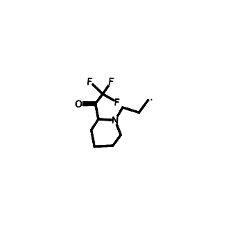 [CH2]CCN1CCCCC1C(=O)C(F)(F)F